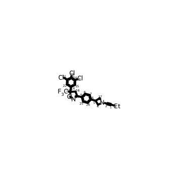 CCC#CN1CC(c2ccc(C3=NOC(c4cc(Cl)c(Cl)c(Cl)c4)(C(F)(F)F)C3)cc2)C1